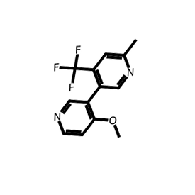 COc1ccncc1-c1cnc(C)cc1C(F)(F)F